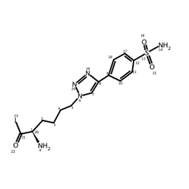 N[C@H](CCCCn1cc(-c2ccc(S(N)(=O)=O)cc2)nn1)C(=O)I